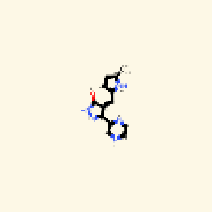 O=C1NN=C(c2cnccn2)C1=Cc1ccc(C(F)(F)F)[nH]1